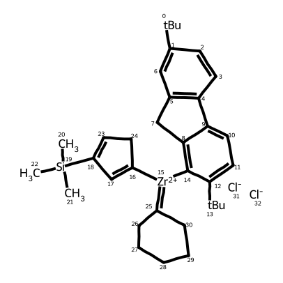 CC(C)(C)c1ccc2c(c1)Cc1c-2ccc(C(C)(C)C)[c]1[Zr+2]([C]1=CC([Si](C)(C)C)=CC1)=[C]1CCCCC1.[Cl-].[Cl-]